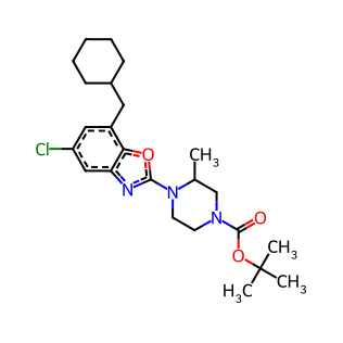 CC1CN(C(=O)OC(C)(C)C)CCN1c1nc2cc(Cl)cc(CC3CCCCC3)c2o1